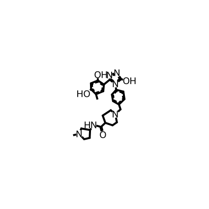 Cc1cc(-c2nnc(O)n2-c2ccc(CN3CCC(C(=O)NC4CCN(C)C4)CC3)cc2)c(O)cc1O